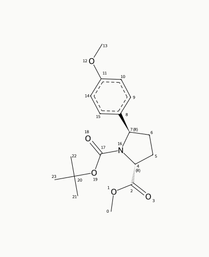 COC(=O)[C@H]1CC[C@H](c2ccc(OC)cc2)N1C(=O)OC(C)(C)C